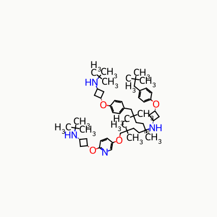 CC(C)(C)Cc1ccc(O[C@H]2C[C@@H](N[C@](C)(CCC(C)(C)COc3ccc(O[C@H]4C[C@@H](NC(C)(C)C)C4)nc3)CCC(C)(C)Cc3ccc(O[C@H]4C[C@H](NC(C)(C)C)C4)cc3)C2)cc1